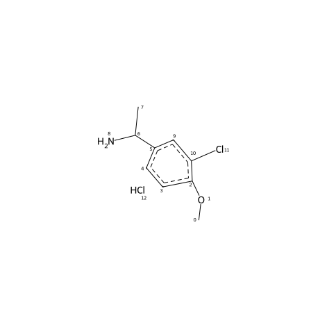 COc1ccc(C(C)N)cc1Cl.Cl